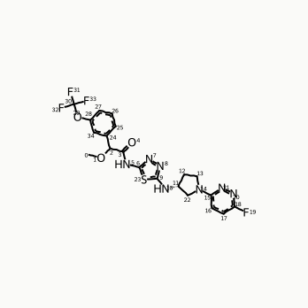 COC(C(=O)Nc1nnc(N[C@@H]2CCN(c3ccc(F)nn3)C2)s1)c1cccc(OC(F)(F)F)c1